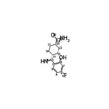 N=C(c1ccc(F)cc1O)[C@H]1CC[C@H](C(N)=O)CC1